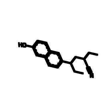 CCC(C#N)CC(CC)c1ccc2cc(O)ccc2c1